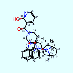 Cc1nc2ccccc2n1[C@H]1C[C@H]2CC[C@@H](C1)N2CCC1(c2ccccc2)CCN(C(=O)c2cccnc2O)CC1